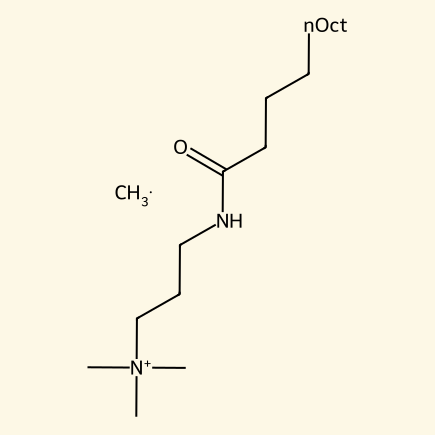 CCCCCCCCCCCC(=O)NCCC[N+](C)(C)C.[CH3]